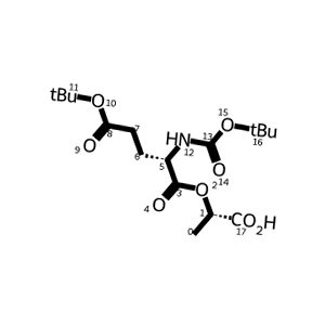 C[C@H](OC(=O)[C@H](CCC(=O)OC(C)(C)C)NC(=O)OC(C)(C)C)C(=O)O